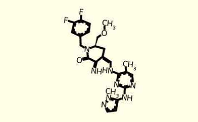 COC[C@H]1C/C(=C/Nc2nc(Nc3ccnn3C)ncc2C)C(=N)C(=O)N1Cc1ccc(F)c(F)c1